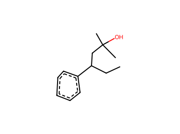 CCC(CC(C)(C)O)c1ccccc1